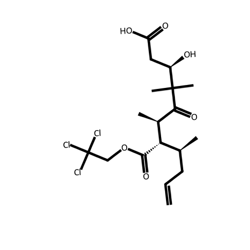 C=CC[C@H](C)[C@H](C(=O)OCC(Cl)(Cl)Cl)[C@@H](C)C(=O)C(C)(C)[C@H](O)CC(=O)O